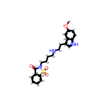 COc1ccc2[nH]cc(CCNCCCCN3C(=O)c4ccccc4S3(=O)=O)c2c1